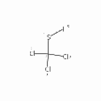 ClC(Cl)(Cl)SI